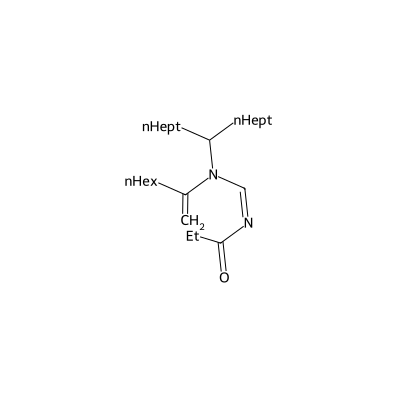 C=C(CCCCCC)N(/C=N\C(=O)CC)C(CCCCCCC)CCCCCCC